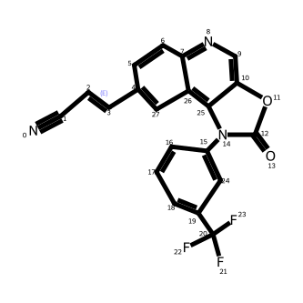 N#C/C=C/c1ccc2ncc3oc(=O)n(-c4cccc(C(F)(F)F)c4)c3c2c1